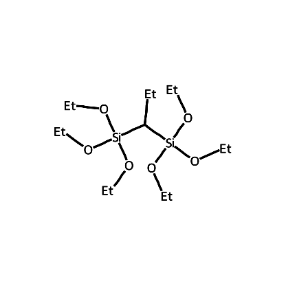 CCO[Si](OCC)(OCC)C(CC)[Si](OCC)(OCC)OCC